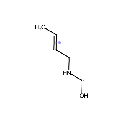 C/C=C/CN[CH]O